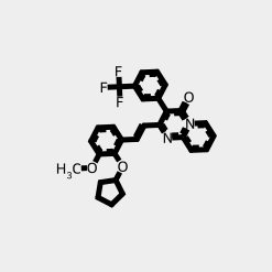 COc1cccc(C=Cc2nc3ccccn3c(=O)c2-c2cccc(C(F)(F)F)c2)c1OC1CCCC1